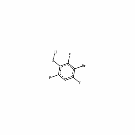 Fc1cc(F)c(SCl)c(F)c1Br